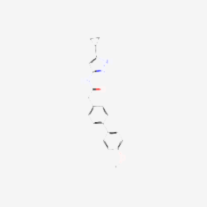 CCCCOc1ccc(-c2ccc(CC(=O)Nc3cc(C4CC4)[nH]n3)cc2)cc1